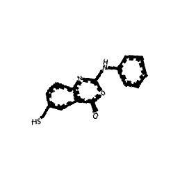 O=c1oc(Nc2ccccc2)nc2ccc(S)cc12